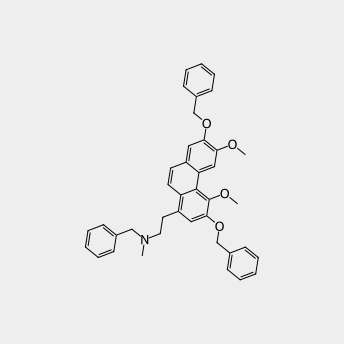 COc1cc2c(ccc3c(CCN(C)Cc4ccccc4)cc(OCc4ccccc4)c(OC)c32)cc1OCc1ccccc1